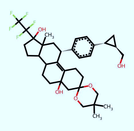 CC1(C)COC2(CCC3=C4C(CCC3(O)C2)C2CCC(O)(C(F)(F)C(F)(F)F)C2(C)C[C@@H]4c2ccc([C@@H]3C[C@H]3CO)cc2)OC1